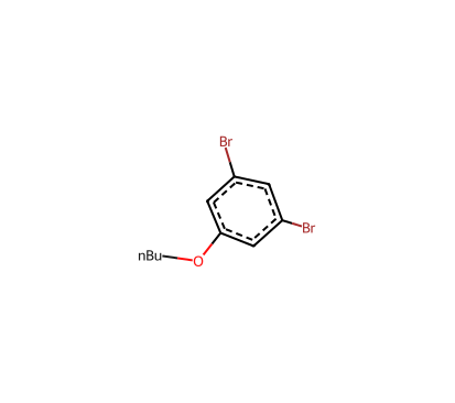 CCCCOc1cc(Br)cc(Br)c1